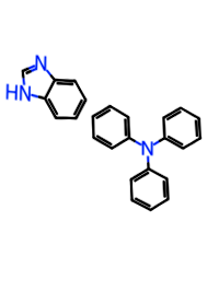 c1ccc(N(c2ccccc2)c2ccccc2)cc1.c1ccc2[nH]cnc2c1